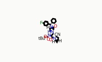 CC(C)(C)OC(=O)NC(CN1C[C@@H]2CC1C(=O)N2[C@H](c1ccc(F)cc1)C1CCCCC1)C(=O)N1C(C#N)C[C@@H]2C[C@@H]21